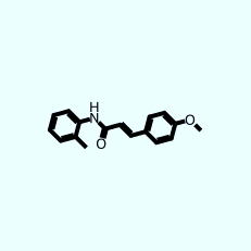 COc1ccc(/C=C/C(=O)Nc2ccccc2C)cc1